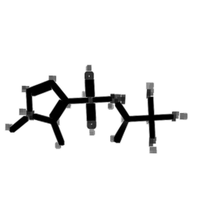 Cc1c(S(=O)(=O)N[C@H](C)C(F)(F)F)ccn1C